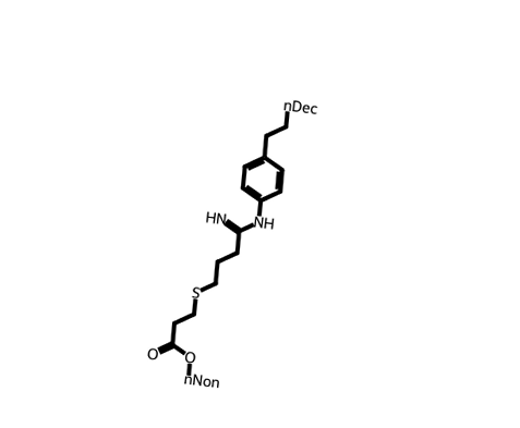 CCCCCCCCCCCCc1ccc(NC(=N)CCCSCCC(=O)OCCCCCCCCC)cc1